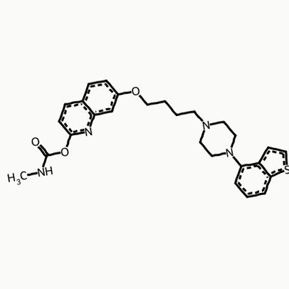 CNC(=O)Oc1ccc2ccc(OCCCCN3CCN(c4cccc5sccc45)CC3)cc2n1